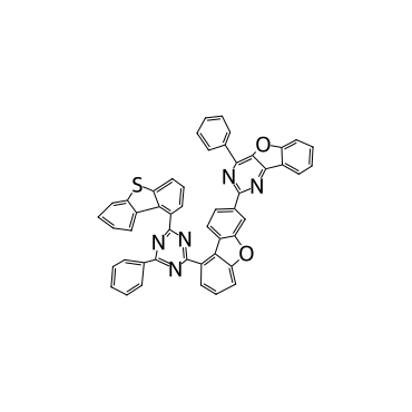 c1ccc(-c2nc(-c3cccc4oc5cc(-c6nc(-c7ccccc7)c7oc8ccccc8c7n6)ccc5c34)nc(-c3cccc4sc5ccccc5c34)n2)cc1